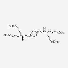 CCCCCCCCCCCCCC(CCCCCCCCCCCCC)NCCN1CCN(CCNC(CCCCCCCCCCCCC)CCCCCCCCCCCCC)CC1